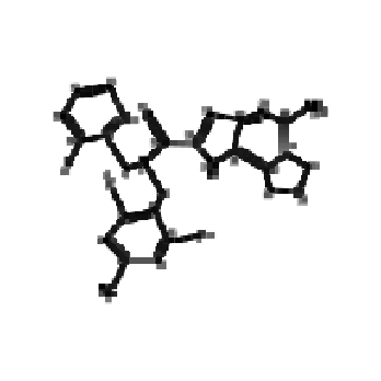 N#Cc1cc(F)c(CN(Cc2ncccc2F)C(=O)c2cc3nc(N)c4c(c3[nH]2)COC4)c(F)c1